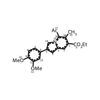 CCOC(=O)c1cc2cc(-c3ccc(OC)c(OC)c3)cn2c(C(C)=O)c1C